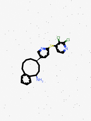 N[C@@H]1CC[C@H](c2ccc(Sc3ccnc(Cl)c3Cl)nc2)CCCCc2ccccc21